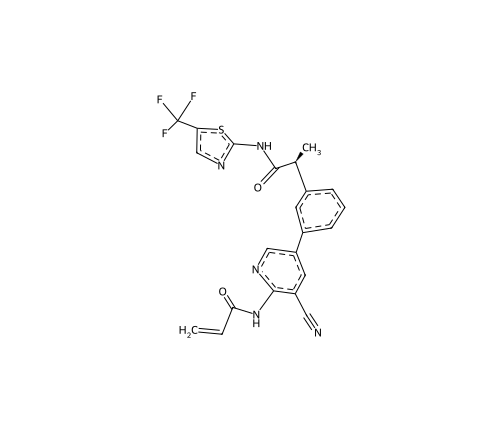 C=CC(=O)Nc1ncc(-c2cccc([C@H](C)C(=O)Nc3ncc(C(F)(F)F)s3)c2)cc1C#N